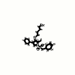 Cc1c(SCCCCBr)c(-c2ccccc2)cn1S(=O)(=O)Cc1ccccc1